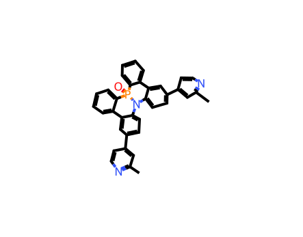 Cc1cc(-c2ccc3c(c2)-c2ccccc2P2(=O)c4ccccc4-c4cc(-c5ccnc(C)c5)ccc4N32)ccn1